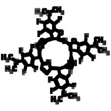 CN(C)c1c(F)c(F)c(-c2c3nc(c(-c4c(F)c(F)c(N(C)C)c(F)c4F)c4ccc([nH]4)c4c(nc5oc6c(F)c(N(C)C)c(F)c(F)c6c5c5ccc2[nH]5)oc2c(F)c(N(C)C)c(F)c(F)c24)C=C3)c(F)c1F